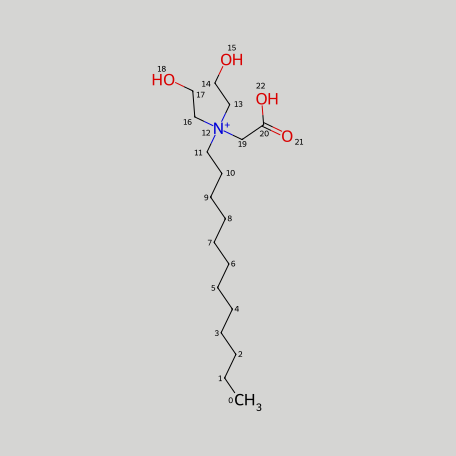 CCCCCCCCCCCC[N+](CCO)(CCO)CC(=O)O